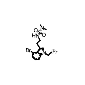 CC(C)Cn1cc(CCNS(=O)(=O)N(C)C)c2c(Br)cccc21